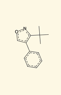 CC(C)(C)c1nocc1-c1ccccc1